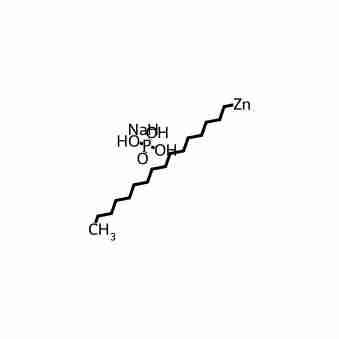 CCCCCCCCCCCCCCC[CH2][Zn].O=P(O)(O)O.[NaH]